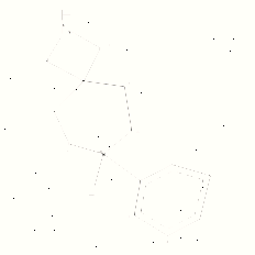 FC1(c2ccccc2)CCC2(CC1)CNC2